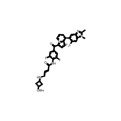 COC1CC(NC/C=C/C(=O)Nc2c(F)cc(C(=O)c3ccc4c(-c5cc6nc(C)n(C)c6cc5C(F)(F)F)cccn34)cc2F)C1